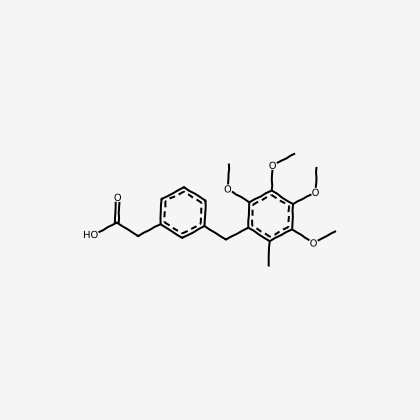 COc1c(C)c(Cc2cccc(CC(=O)O)c2)c(OC)c(OC)c1OC